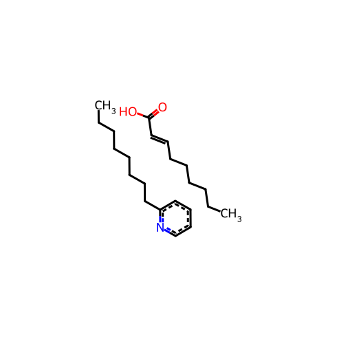 CCCCCCC=CC(=O)O.CCCCCCCCc1ccccn1